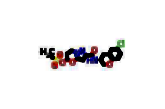 CCS(=O)(=O)OC1CCn2nc(C(=O)N[C@H]3COc4ccc(Cl)cc4C3)cc2O1